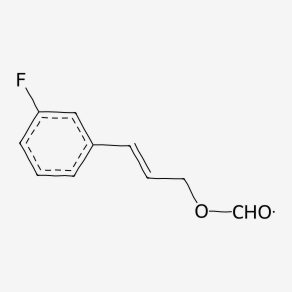 O=[C]OCC=Cc1cccc(F)c1